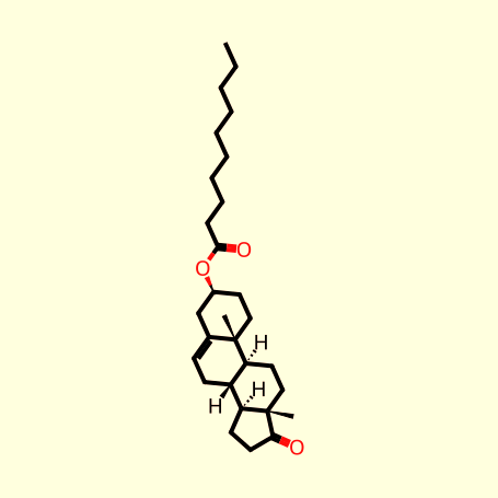 CCCCCCCCCC(=O)O[C@H]1CC[C@@]2(C)C(=CC[C@@H]3[C@@H]2CC[C@]2(C)C(=O)CC[C@@H]32)C1